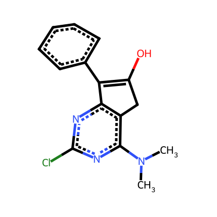 CN(C)c1nc(Cl)nc2c1CC(O)=C2c1ccccc1